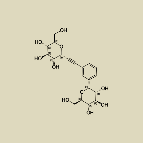 OC[C@H]1O[C@H](c2cccc(C#C[C@H]3O[C@H](CO)[C@@H](O)[C@H](O)[C@@H]3O)c2)[C@H](O)[C@@H](O)[C@@H]1O